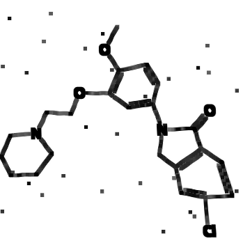 COc1ccc(N2Cc3cc(Cl)ccc3C2=O)cc1OCCN1CCCCC1